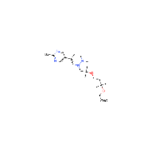 CCC(C)c1ncc(/C(C)=C/N(CC(C)(C)OCCC(C)(C)OCC=O)N(C)C)cn1